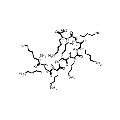 NCCCC[C@H](NC(=O)[C@H](CCCCN)NC(=O)[C@H](CCCCN)NC(=O)[C@H](CCCCN)NC(=O)[C@H](CCCCN)NC(=O)[C@H](CCCCN)NC(=O)[C@H](CCCCN)NC(=O)[C@@H](N)CCCCN)C(=O)O